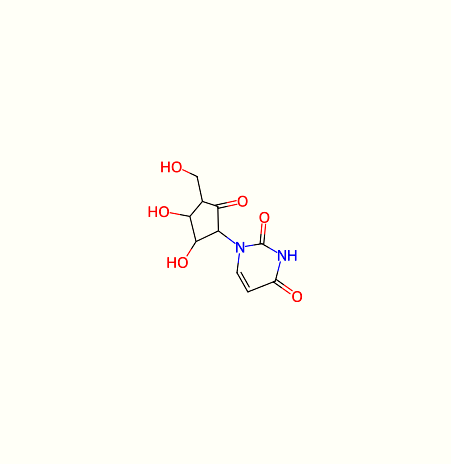 O=C1C(CO)C(O)C(O)C1n1ccc(=O)[nH]c1=O